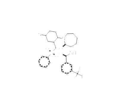 NC1CCC(N2CCCC[C@H](NC(=O)c3cccc(C(F)(F)F)c3)C2=O)C(CS(=O)(=O)c2ccccc2)C1